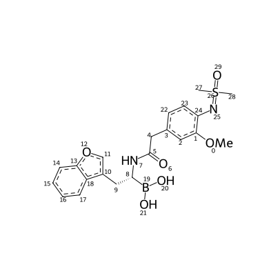 COc1cc(CC(=O)N[C@@H](Cc2coc3ccccc23)B(O)O)ccc1N=S(C)(C)=O